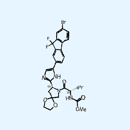 COC(=O)N[C@H](C(=O)N1CC2(C[C@H]1c1ncc(-c3ccc4c(c3)C(F)(F)c3cc(Br)ccc3-4)[nH]1)OCCO2)C(C)C